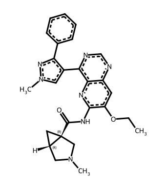 CCOc1cc2ncnc(-c3cn(C)nc3-c3ccccc3)c2nc1NC(=O)[C@]12C[C@H]1CN(C)C2